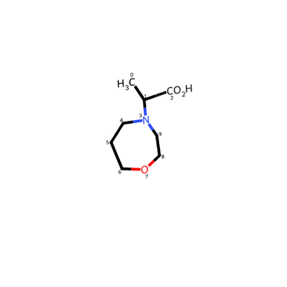 CC(C(=O)O)N1CCCOCC1